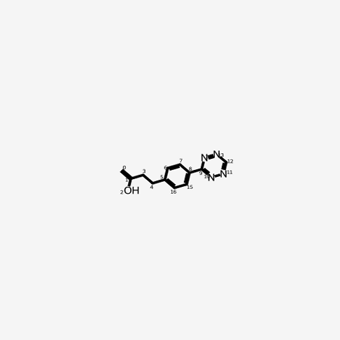 C=C(O)CCc1ccc(-c2nncnn2)cc1